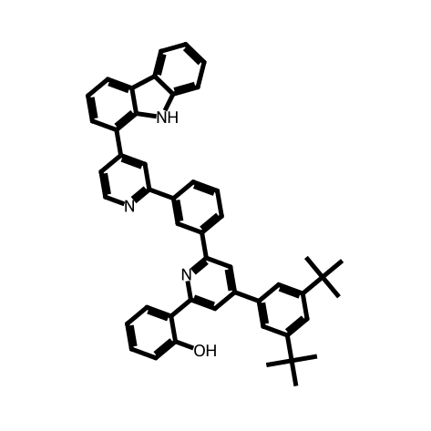 CC(C)(C)c1cc(-c2cc(-c3cccc(-c4cc(-c5cccc6c5[nH]c5ccccc56)ccn4)c3)nc(-c3ccccc3O)c2)cc(C(C)(C)C)c1